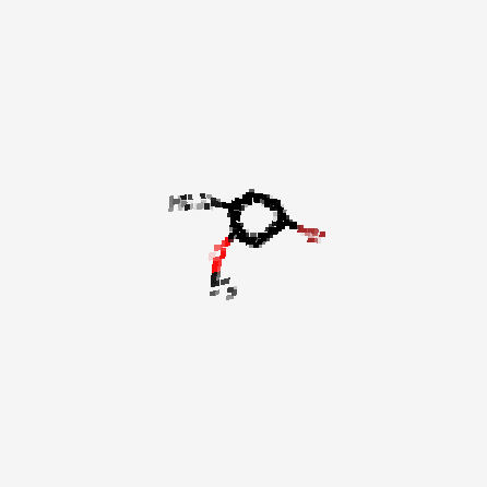 O=C(O)c1ccc(Br)cc1OC(F)(F)F